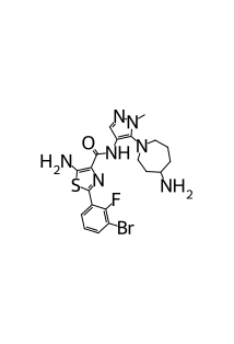 Cn1ncc(NC(=O)c2nc(-c3cccc(Br)c3F)sc2N)c1N1CCCC(N)CC1